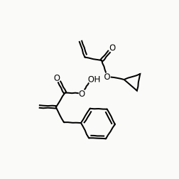 C=C(Cc1ccccc1)C(=O)OO.C=CC(=O)OC1CC1